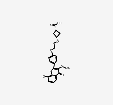 COc1c(-c2ccc(OCCO[C@H]3C[C@@H](C(=O)O)C3)cc2)oc2c(Cl)cccc2c1=O